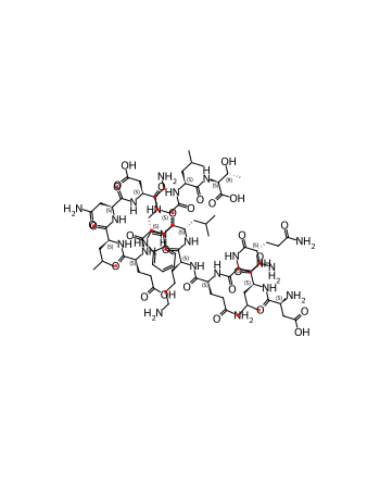 CC(C)C[C@H](NC(=O)[C@H](CCCCN)NC(=O)[C@H](CCC(N)=O)NC(=O)[C@H](CC(N)=O)NC(=O)[C@H](CCC(N)=O)NC(=O)[C@H](CC(C)C)NC(=O)[C@@H](N)CC(=O)O)C(=O)N[C@@H](CCCCN)C(=O)N[C@@H](CCC(=O)O)C(=O)N[C@@H](CC(C)C)C(=O)N[C@@H](CC(N)=O)C(=O)N[C@@H](CC(=O)O)C(=O)N[C@@H](Cc1c[nH]c2ccccc12)C(=O)N[C@@H](CC(C)C)C(=O)N[C@H](C(=O)O)[C@@H](C)O